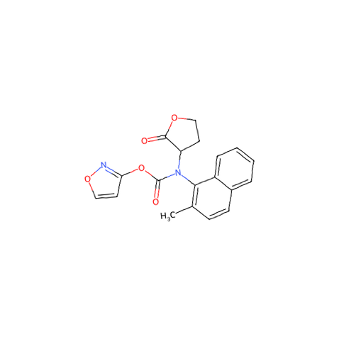 Cc1ccc2ccccc2c1N(C(=O)Oc1ccon1)C1CCOC1=O